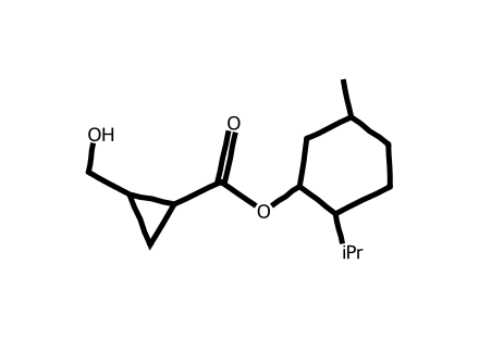 CC1CCC(C(C)C)C(OC(=O)C2CC2CO)C1